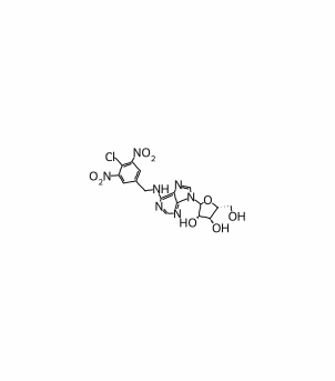 O=[N+]([O-])c1cc(CNc2ncnc3c2ncn3C2O[C@H](CO)[C@@H](O)[C@H]2O)cc([N+](=O)[O-])c1Cl